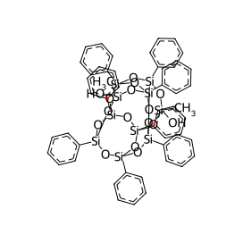 C[Si]1(O)O[Si]2(c3ccccc3)O[Si]3(c4ccccc4)O[Si]4(c5ccccc5)O[Si](C)(O)O[Si]5(c6ccccc6)O[Si](c6ccccc6)(O[Si](c6ccccc6)(O1)O[Si](c1ccccc1)(O5)O[Si](c1ccccc1)(O2)O4)O3